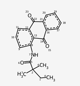 CCC(C)(C)C(=O)Nc1cccc2c1C(=O)c1ccccc1C2=O